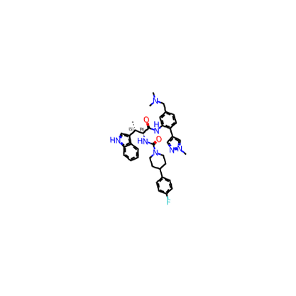 C[C@@H](c1c[nH]c2ccccc12)[C@@H](NC(=O)N1CCC(c2ccc(F)cc2)CC1)C(=O)Nc1cc(CN(C)C)ccc1-c1cnn(C)c1